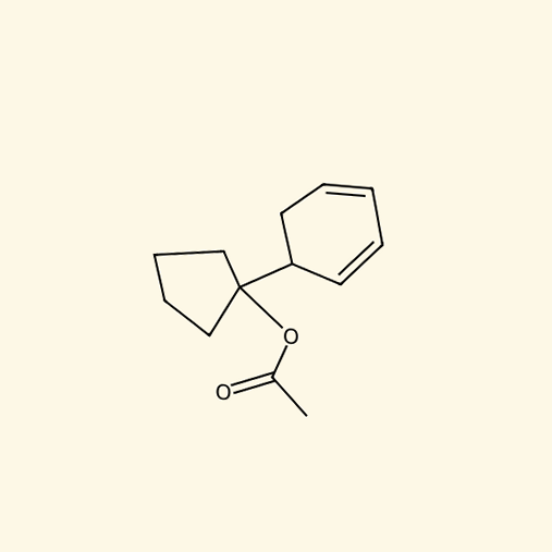 CC(=O)OC1(C2C=CC=CC2)CCCC1